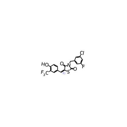 O=C1S/C(=C/c2ccc(O)c(C(F)(F)F)c2)C(=O)N1Cc1cc(F)cc(Cl)c1